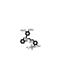 COc1ccc([C@@H](Cc2ccccc2Br)NC[C@@H](O)Cc2ccc(O)c(NS(C)(=O)=O)c2)cc1OC